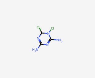 NC1=NC(Cl)N(Cl)C(N)=N1